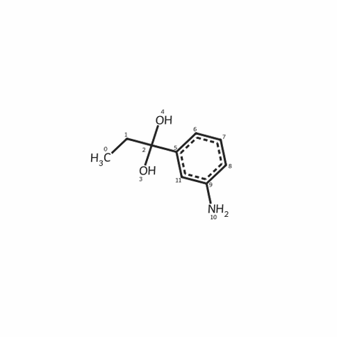 CCC(O)(O)c1cccc(N)c1